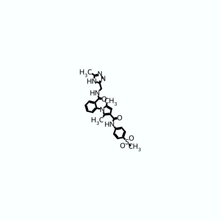 Cc1nnc(CNC(=O)c2ccccc2-n2c(C)cc(C(=O)Nc3ccc(S(C)(=O)=O)cc3)c2C)[nH]1